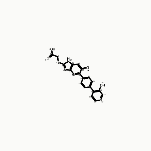 O=C(O)CSc1nc2nc(-c3ccc(-c4ccncc4O)cc3)c(Cl)cc2[nH]1